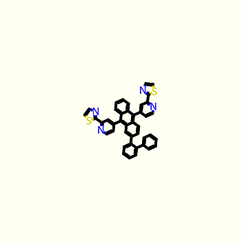 c1ccc(-c2ccccc2-c2ccc3c(-c4ccnc(-c5nccs5)c4)c4ccccc4c(-c4ccnc(-c5nccs5)c4)c3c2)cc1